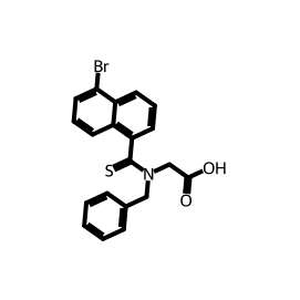 O=C(O)CN(Cc1ccccc1)C(=S)c1cccc2c(Br)cccc12